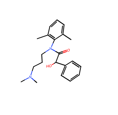 Cc1cccc(C)c1N(CCCN(C)C)C(=O)C(O)c1ccccc1